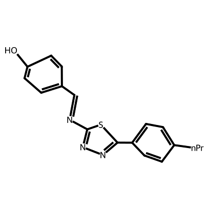 CCCc1ccc(-c2nnc(N=Cc3ccc(O)cc3)s2)cc1